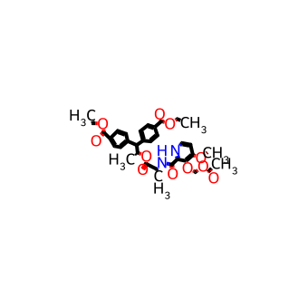 CCOC(=O)c1ccc(C(c2ccc(C(=O)OCC)cc2)[C@H](C)OC(=O)[C@H](C)NC(=O)c2nccc(OC)c2OCOC(C)=O)cc1